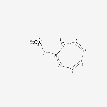 CCOC(=O)CC1=CC=CC=CO1